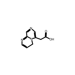 O=C(O)CC1=CN=CC2=NC=CCN12